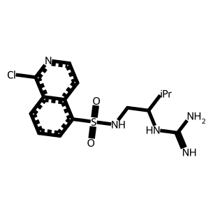 CC(C)C(CNS(=O)(=O)c1cccc2c(Cl)nccc12)NC(=N)N